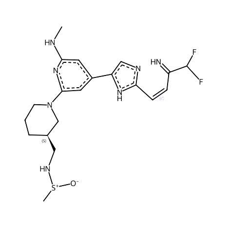 CNc1cc(-c2cnc(/C=C\C(=N)C(F)F)[nH]2)cc(N2CCC[C@H](CN[S+](C)[O-])C2)n1